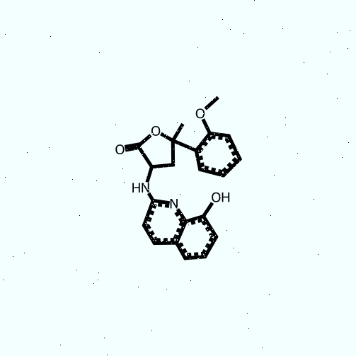 COc1ccccc1C1(C)CC(Nc2ccc3cccc(O)c3n2)C(=O)O1